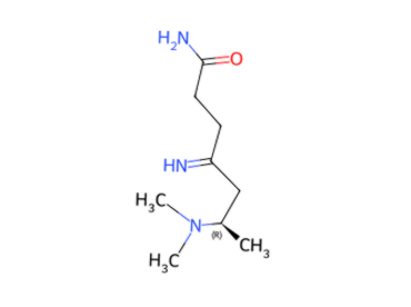 C[C@H](CC(=N)CCC(N)=O)N(C)C